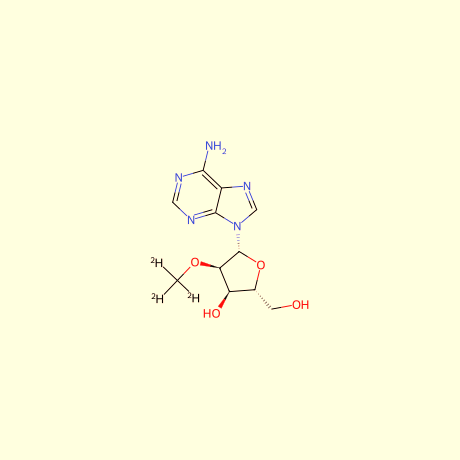 [2H]C([2H])([2H])O[C@@H]1[C@H](O)[C@@H](CO)O[C@H]1n1cnc2c(N)ncnc21